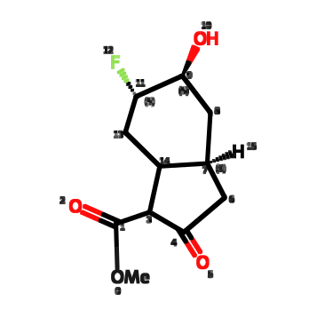 COC(=O)C1C(=O)C[C@@H]2C[C@H](O)[C@@H](F)CC12